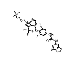 C[Si](C)(C)CCOCn1cc(C(F)(F)F)c2c(Oc3c(F)cc(NC(=O)Nc4cc5c(nn4)CCC5)cc3F)ccnc21